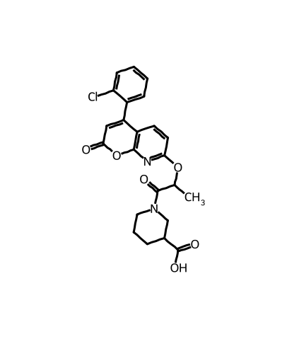 CC(Oc1ccc2c(-c3ccccc3Cl)cc(=O)oc2n1)C(=O)N1CCCC(C(=O)O)C1